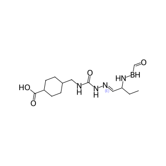 CCC(/C=N/NC(=O)NCC1CCC(C(=O)O)CC1)NBC=O